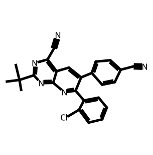 CC(C)(C)c1nc(C#N)c2cc(-c3ccc(C#N)cc3)c(-c3ccccc3Cl)nc2n1